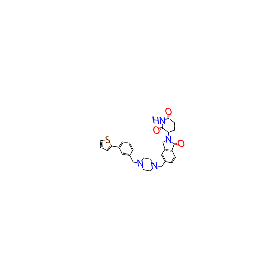 O=C1CCC(N2Cc3cc(CN4CCN(Cc5cccc(-c6cccs6)c5)CC4)ccc3C2=O)C(=O)N1